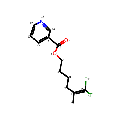 CC(CCCCOC(=O)c1cccnc1)=C(F)F